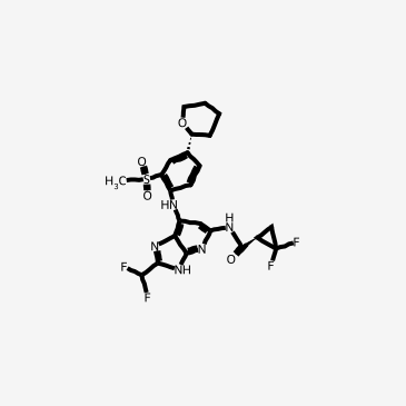 CS(=O)(=O)c1cc([C@H]2CCCCO2)ccc1Nc1cc(NC(=O)[C@H]2CC2(F)F)nc2[nH]c(C(F)F)nc12